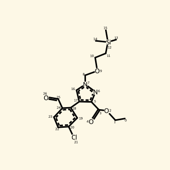 CCOC(=O)c1nn(COCC[Si](C)(C)C)cc1-c1cc(Cl)ccc1C=O